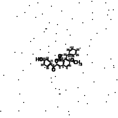 COc1ccc(/C=C/C(=O)c2ccc(O)cc2)c([N+](=O)[O-])c1Cc1ccccc1